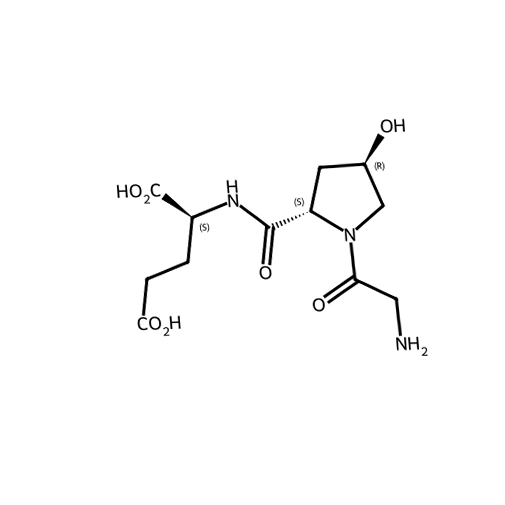 NCC(=O)N1C[C@H](O)C[C@H]1C(=O)N[C@@H](CCC(=O)O)C(=O)O